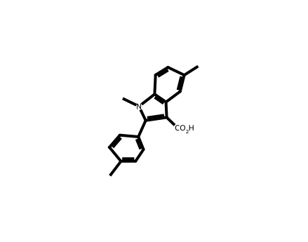 Cc1ccc(-c2c(C(=O)O)c3cc(C)ccc3n2C)cc1